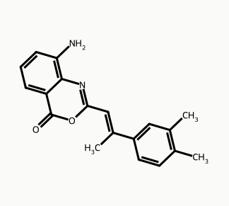 C/C(=C\c1nc2c(N)cccc2c(=O)o1)c1ccc(C)c(C)c1